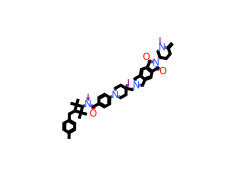 C=C1CCC(N2C(=O)c3cc4c(cc3C2=O)CN(CC2(I)CCN(c3ccc(C(=O)N(I)C5C(C)(C)C(Cc6ccc(C)cc6)C5(C)C)cc3)CC2)C4)CN1I